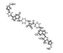 O=c1c(N[C@H]2CC[C@H](Nc3nc(Cl)nc4c3ncn4[C@H]3CC[C@@H](n4ncc(CO)n4)C3)CC2)c(N[C@H]2CC[C@H](Nc3nc(Cl)nc4c3ncn4[C@@H]3C[C@H](n4ncc(CO)n4)[C@@H](O)[C@H]3O)CC2)c1=O